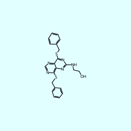 OCCNc1nc(SCc2ccccc2)c2ncnc(SCc3ccccc3)c2n1